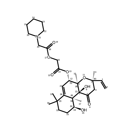 C=C[C@@]1(C)CC(=O)[C@@]2(O)[C@](C)(O1)[C@@H](OC(=O)COC(=O)CN1CCCCC1)C=C1C(C)(C)CC[C@H](O)[C@@]12C